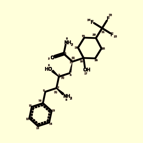 NC(=O)[C@@H](C[C@H](O)[C@@H](N)Cc1ccccc1)C1(O)CCC(C(F)(F)F)CC1